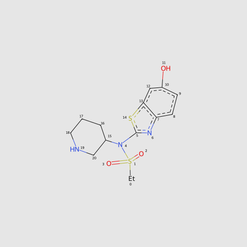 CCS(=O)(=O)N(c1nc2ccc(O)cc2s1)C1CCCNC1